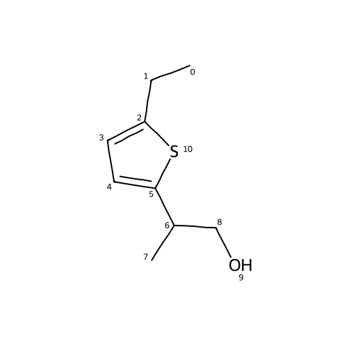 CCc1ccc(C(C)CO)s1